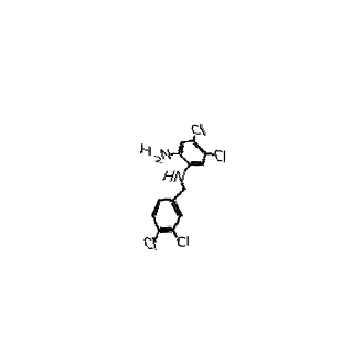 Nc1cc(Cl)c(Cl)cc1NCc1ccc(Cl)c(Cl)c1